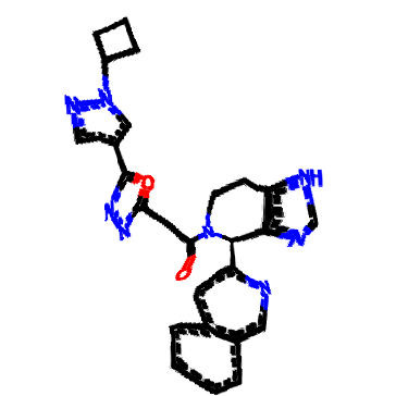 O=C(c1nnc(-c2cnn(C3CCC3)c2)o1)N1CCc2[nH]cnc2[C@H]1c1cc2ccccc2cn1